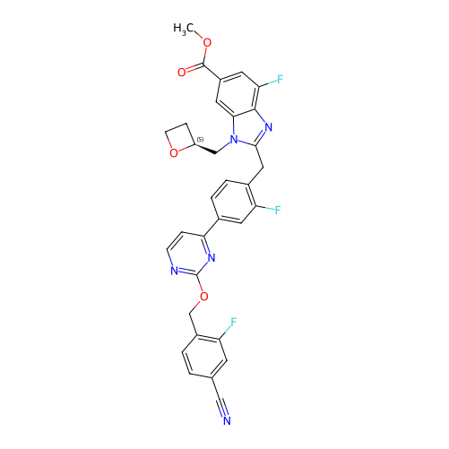 COC(=O)c1cc(F)c2nc(Cc3ccc(-c4ccnc(OCc5ccc(C#N)cc5F)n4)cc3F)n(C[C@@H]3CCO3)c2c1